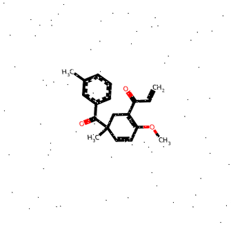 C=CC(=O)C1=C(OC)C=CC(C)(C(=O)c2cccc(C)c2)C1